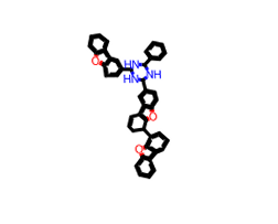 C1=Cc2c(oc3ccc(C4NC(c5ccccc5)NC(c5ccc6oc7ccccc7c6c5)N4)cc23)C(c2cccc3c2oc2ccccc23)C1